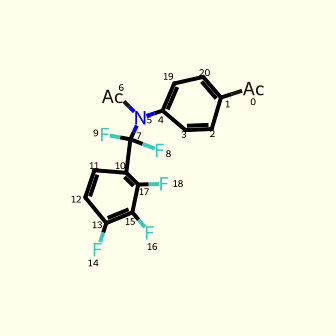 CC(=O)c1ccc(N(C(C)=O)C(F)(F)c2ccc(F)c(F)c2F)cc1